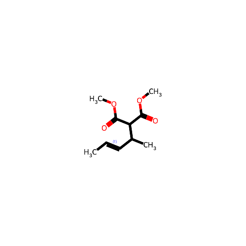 C/C=C/C(C)C(C(=O)OC)C(=O)OC